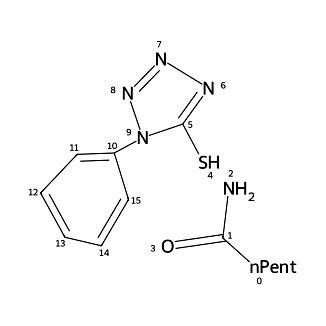 CCCCCC(N)=O.Sc1nnnn1-c1ccccc1